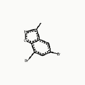 Cc1noc2c(Br)cc(Br)cc12